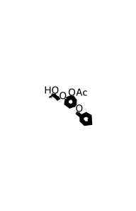 CC(=O)Oc1cc(OCc2ccccc2)ccc1OC[C@@H](C)O